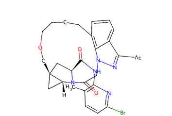 CC(=O)c1nn2c3c(cccc13)CCCCOC[C@@]13C[C@@H](C(=O)Nc4nc(Br)ccc4C)N(C(=O)C2)[C@@H]1C3